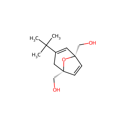 CC(C)(C)C1=C[C@@]2(CO)C=C[C@@](CO)(C1)O2